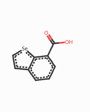 O=C(O)c1cccc2cc[se]c12